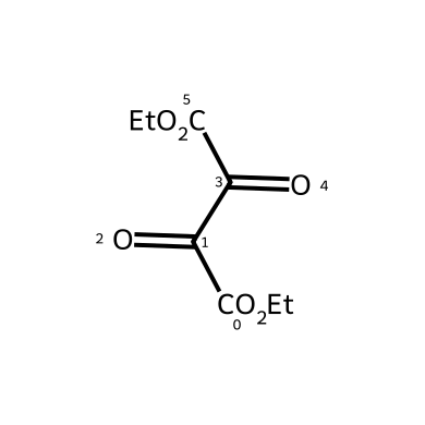 CCOC(=O)C(=O)C(=O)C(=O)OCC